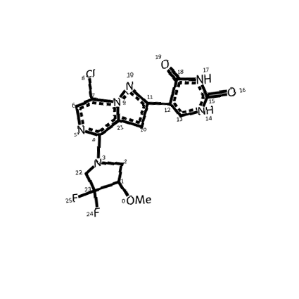 COC1CN(c2ncc(Cl)n3nc(-c4c[nH]c(=O)[nH]c4=O)cc23)CC1(F)F